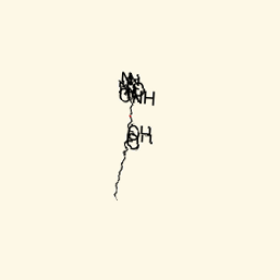 CCCCCCCCCCCCC(=O)CC(O)CCCCCCCC(NC)n1c(=O)c2c(ncn2C)n(C)c1=O